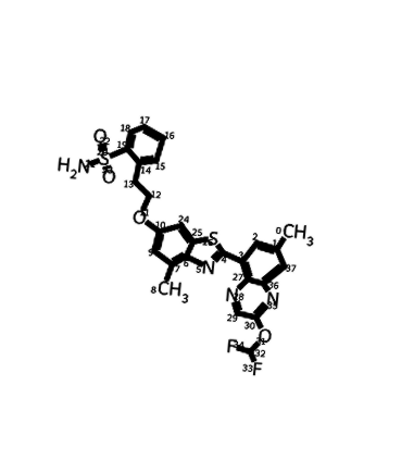 Cc1cc(-c2nc3c(C)cc(OCCc4ccccc4S(N)(=O)=O)cc3s2)c2ncc(OC(F)F)nc2c1